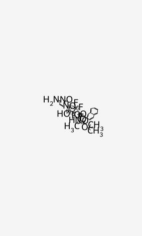 CC(C)OC(=O)[C@H](C)NP(=O)(OC[C@@]1(C(F)F)O[C@@H](n2ccc(N)nc2=O)[C@H](O)[C@@H]1F)Oc1ccc2ccccc2c1